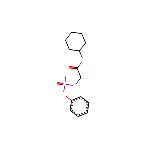 C[C@H](NP(=O)(Cl)Oc1ccccc1)C(=O)OC1CCCCC1